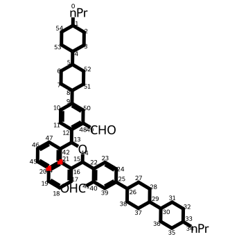 CCCC1CCC(C2CCC(c3ccc(C(OC(c4ccccc4)c4ccc(C5CCC(C6CCC(CCC)CC6)CC5)cc4C=O)c4ccccc4)c(C=O)c3)CC2)CC1